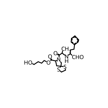 CC(NC(C=O)CCc1ccccc1)C(=O)N1CC2(CC1C(=O)OCCCCO)SCCS2